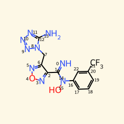 N=C(c1nonc1Cn1nnnc1N)N(O)c1cccc(C(F)(F)F)c1